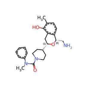 Cc1ccc2c(c1O)C[C@@H](C1CCN(C(=O)N(C)c3ccccc3)CC1)O[C@H]2CN